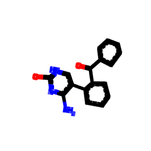 Nc1nc(=O)[nH]cc1-c1ccccc1C(=O)c1ccccc1